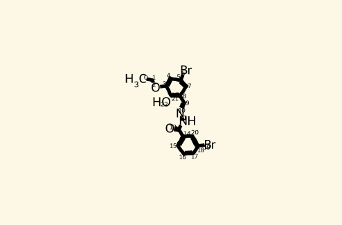 CCOc1cc(Br)cc(C=NNC(=O)c2cccc(Br)c2)c1O